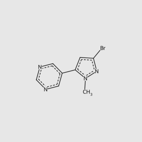 Cn1nc(Br)cc1-c1cncnc1